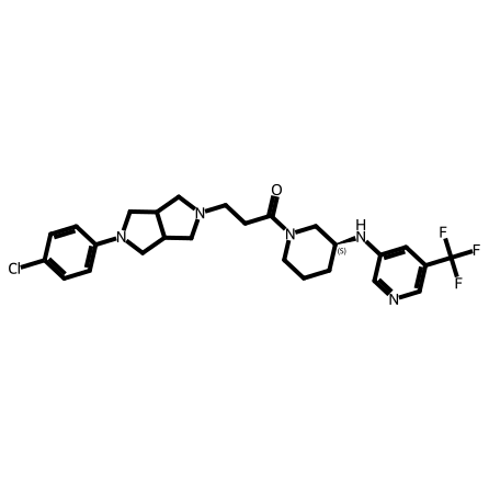 O=C(CCN1CC2CN(c3ccc(Cl)cc3)CC2C1)N1CCC[C@H](Nc2cncc(C(F)(F)F)c2)C1